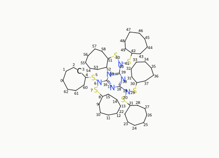 C1CCCC(SN(SC2CCCCCCC2)c2nc(N(SC3CCCCCCC3)SC3CCCCCCC3)nc(N(SC3CCCCCCC3)SC3CCCCCCC3)n2)CCC1